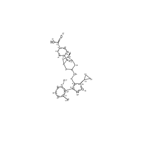 C[C@@H]1CC2CC(OCc3c(-c4c(F)cccc4F)noc3C3CC3)CC1N2c1ncc(C(=O)O)cn1